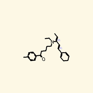 C/C=C(/C=C/C1=CCCC=C1)N(CC)CCCCC(=O)c1ccc(C)cc1